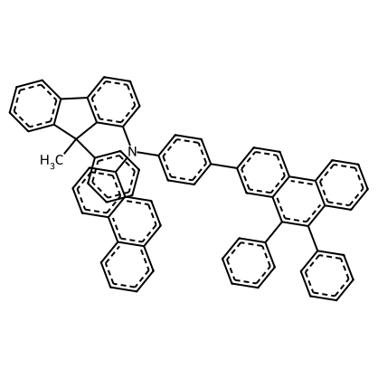 CC1(c2ccccc2)c2ccccc2-c2cccc(N(c3ccc(-c4ccc5c(c4)c(-c4ccccc4)c(-c4ccccc4)c4ccccc45)cc3)c3cccc4c3ccc3ccccc34)c21